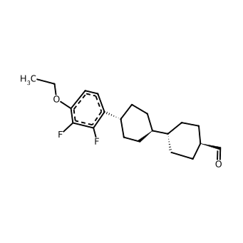 CCOc1ccc([C@H]2CC[C@H]([C@H]3CC[C@H](C=O)CC3)CC2)c(F)c1F